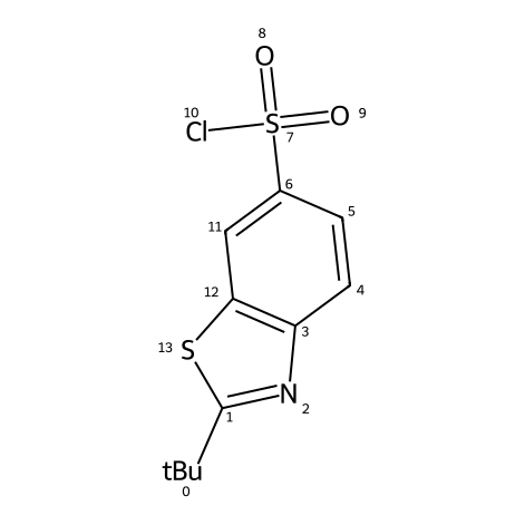 CC(C)(C)c1nc2ccc(S(=O)(=O)Cl)cc2s1